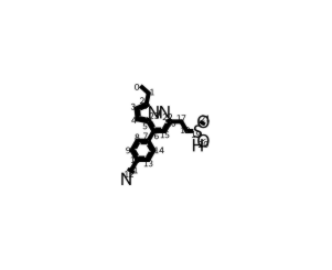 CCc1ccc2c(-c3ccc(C#N)cc3)cc(CC[SH](=O)=O)nn12